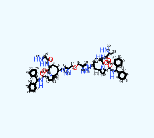 CN[C@@H](C)C(=O)N[C@H]1CC[C@H](n2cc(COCc3cn([C@H]4CC[C@H](NC(=O)[C@H](C)NC)C(=O)N5[C@H](CC[C@H]5C(=O)NC(c5ccccc5)c5ccccc5)C4)nn3)nn2)C[C@H]2CC[C@@H](C(=O)NC(c3ccccc3)c3ccccc3)N2C1=O